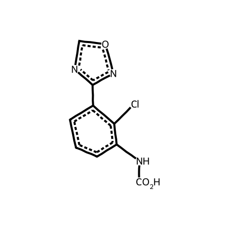 O=C(O)Nc1cccc(-c2ncon2)c1Cl